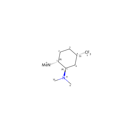 CN[C@@H]1CC[C@H](C(F)(F)F)C[C@H]1N(C)C